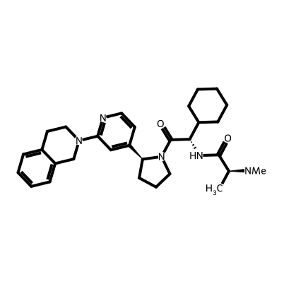 CN[C@@H](C)C(=O)N[C@H](C(=O)N1CCC[C@H]1c1ccnc(N2CCc3ccccc3C2)c1)C1CCCCC1